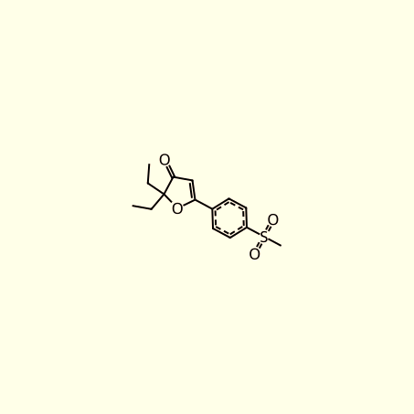 CCC1(CC)OC(c2ccc(S(C)(=O)=O)cc2)=CC1=O